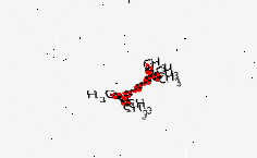 Cc1ccc(N(c2ccc(C=Cc3ccc(CCc4ccc(N(c5ccc(C)cc5)c5ccc(C)c(C)c5)cc4)cc3)cc2)c2ccc(C)c(C)c2)cc1